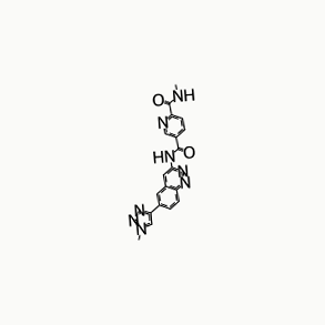 CNC(=O)c1ccc(C(=O)Nc2cc3cc(-c4cn(C)nn4)ccc3nn2)cn1